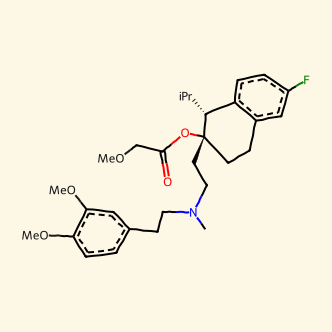 COCC(=O)O[C@@]1(CCN(C)CCc2ccc(OC)c(OC)c2)CCc2cc(F)ccc2[C@H]1C(C)C